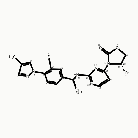 Cc1cnn(-c2ccc(C(C)Nc3nccc(N4C(=O)OC[C@@H]4C(C)C)n3)cc2F)c1